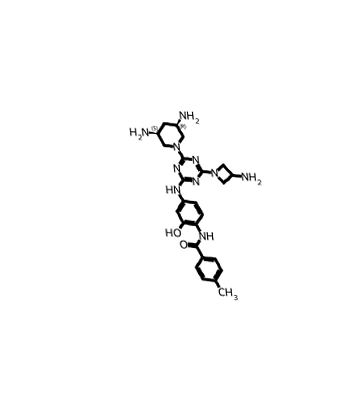 Cc1ccc(C(=O)Nc2ccc(Nc3nc(N4CC(N)C4)nc(N4C[C@H](N)C[C@H](N)C4)n3)cc2O)cc1